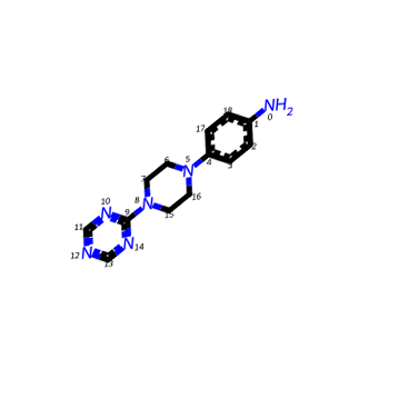 Nc1ccc(N2CCN(c3ncncn3)CC2)cc1